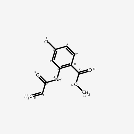 C=CC(=O)Nc1cc(Cl)ccc1C(=O)OC